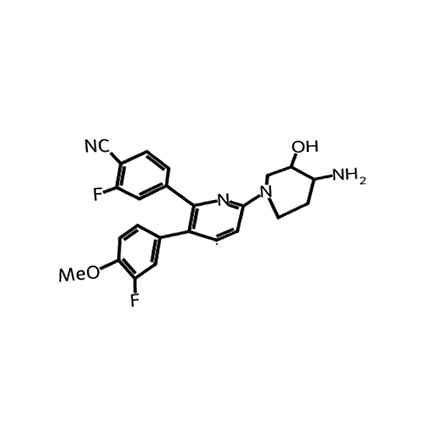 COc1ccc(-c2[c]cc(N3CCC(N)C(O)C3)nc2-c2ccc(C#N)c(F)c2)cc1F